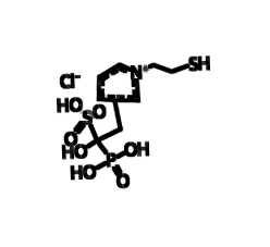 O=P(O)(O)C(O)(Cc1ccc[n+](CCS)c1)S(=O)(=O)O.[Cl-]